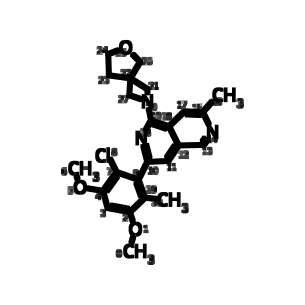 COc1cc(OC)c(Cl)c(-c2cc3cnc(C)cc3c(N3CC4(CCOC4)C3)n2)c1C